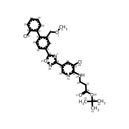 COCc1cc(-c2nc(-c3cnc(NCCC(=O)OC(C)(C)C)c(Cl)c3)no2)ccc1-c1ccccc1Cl